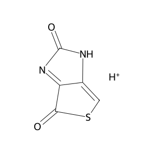 O=C1N=C2C(=O)SC=C2N1.[H+]